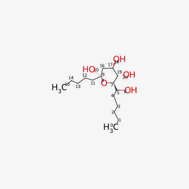 CCCCCC(O)[C@H]1O[C@@](O)(CCCCC)C[C@@H](O)[C@@H]1O